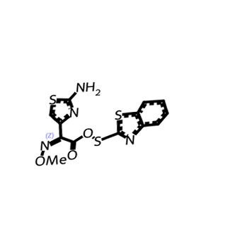 CO/N=C(\C(=O)OSc1nc2ccccc2s1)c1csc(N)n1